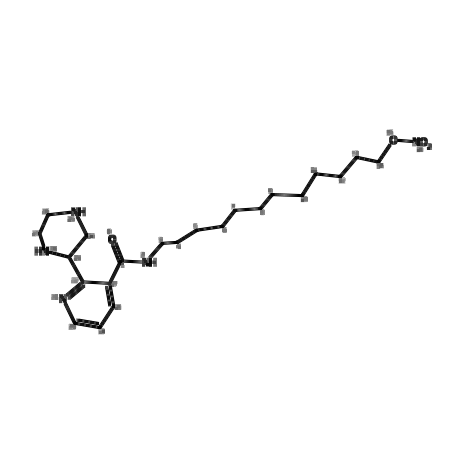 O=C(NCCCCCCCCCCCCO[N+](=O)[O-])c1cccnc1C1CNCCN1